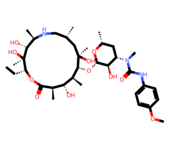 CC[C@H]1OC(=O)[C@H](C)[C@@H](O)[C@H](C)[C@@H](O[C@@H]2O[C@H](C)C[C@H](N(C)C(=O)Nc3ccc(OC)cc3)[C@H]2O)[C@](C)(O)C[C@@H](C)CN[C@H](C)[C@@H](O)[C@]1(C)O